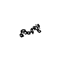 c1ccc2c(c1)c1cc(-c3ccc(-c4ccc5c(c4)c4cccc6c7ccccc7n5c64)cc3)ccc1c1nccnc21